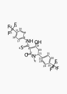 CN1C(=O)C(C(=S)Nc2ccc(C(F)(F)F)cc2)=C(O)CC1c1ccc(C(F)(F)F)cc1